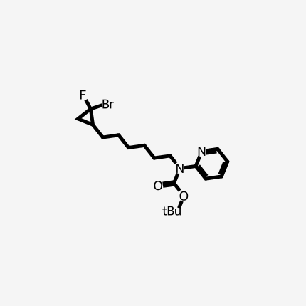 CC(C)(C)OC(=O)N(CCCCCCC1CC1(F)Br)c1ccccn1